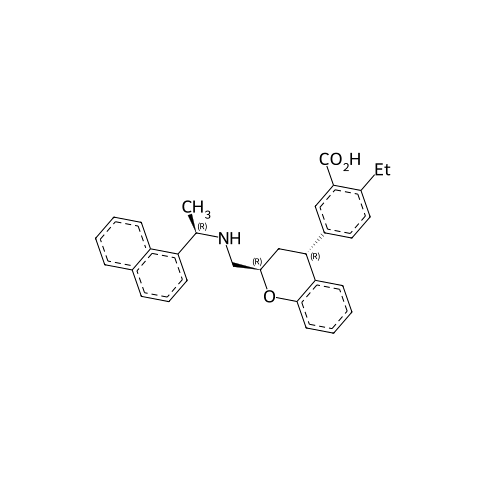 CCc1ccc([C@H]2C[C@H](CN[C@H](C)c3cccc4ccccc34)Oc3ccccc32)cc1C(=O)O